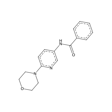 O=C(Nc1ccc(N2CCOCC2)nc1)c1ccccc1